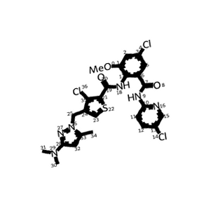 COc1cc(Cl)cc(C(=O)Nc2ccc(Cl)cn2)c1NC(=O)c1scc(Cn2nc(N(C)C)cc2C)c1Cl